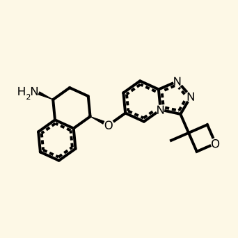 CC1(c2nnc3ccc(O[C@@H]4CC[C@H](N)c5ccccc54)cn23)COC1